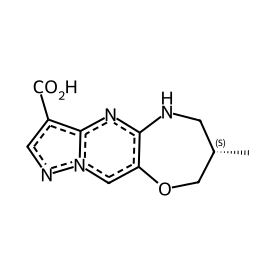 C[C@H]1CNc2nc3c(C(=O)O)cnn3cc2OC1